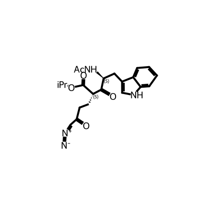 CC(=O)N[C@@H](Cc1c[nH]c2ccccc12)C(=O)[C@H](CCC(=O)C=[N+]=[N-])C(=O)OC(C)C